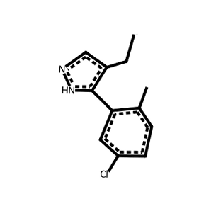 [CH2]Cc1cn[nH]c1-c1cc(Cl)ccc1C